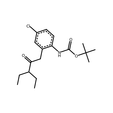 CCC(CC)C(=O)Cc1cc(Cl)ccc1NC(=O)OC(C)(C)C